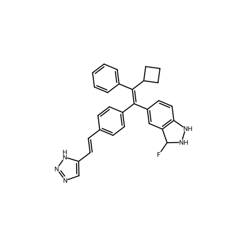 FC1NNc2ccc(/C(=C(/c3ccccc3)C3CCC3)c3ccc(/C=C/c4cnn[nH]4)cc3)cc21